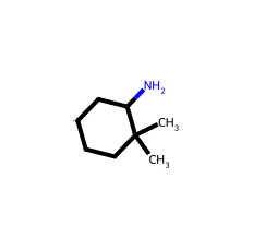 CC1(C)CC[CH]CC1N